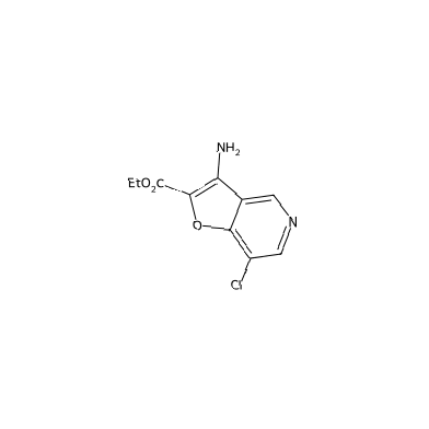 CCOC(=O)c1oc2c(Cl)cncc2c1N